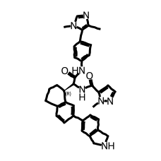 Cc1ncn(C)c1-c1ccc(NC(=O)C(NC(=O)c2ccnn2C)[C@@H]2CCCc3ccc(-c4ccc5c(c4)CNC5)cc32)cc1